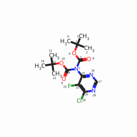 CC(C)(C)OC(=O)N(C(=O)OC(C)(C)C)c1ncnc(Cl)c1F